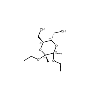 CCO[C@]1(C)O[C@@H](CO)[C@H](CO)O[C@@]1(C)OCC